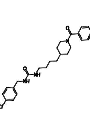 O=C(NCCCCC1CCN(C(=O)c2ccccc2)CC1)NCc1ccc(Cl)cc1